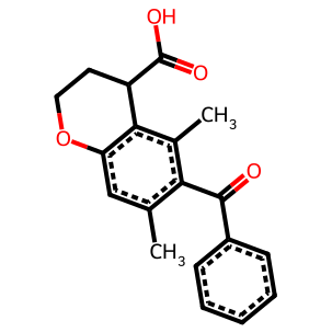 Cc1cc2c(c(C)c1C(=O)c1ccccc1)C(C(=O)O)CCO2